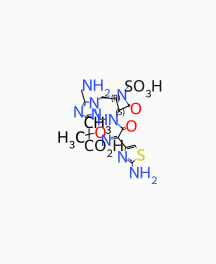 CC(C)(ON=C(C(=O)N[C@@H]1C(=O)N(S(=O)(=O)O)[C@@H]1Cn1ncnc1CN)c1csc(N)n1)C(=O)O